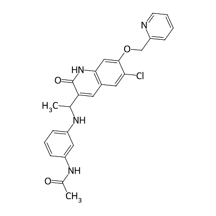 CC(=O)Nc1cccc(NC(C)c2cc3cc(Cl)c(OCc4ccccn4)cc3[nH]c2=O)c1